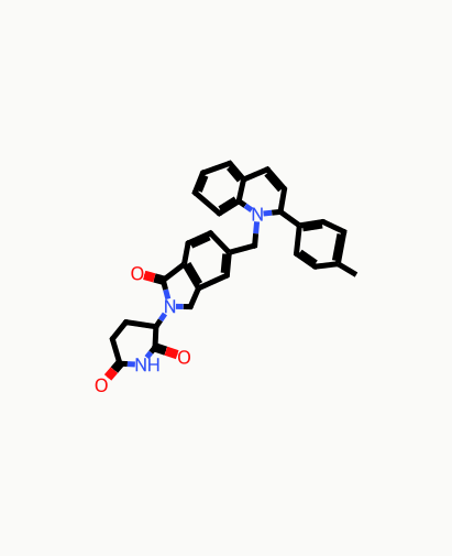 Cc1ccc(C2C=Cc3ccccc3N2Cc2ccc3c(c2)CN(C2CCC(=O)NC2=O)C3=O)cc1